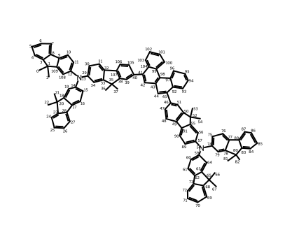 CC1(C)c2ccccc2-c2ccc(N(c3ccc4c(c3)C(C)(C)c3ccccc3-4)c3ccc4c(c3)C(C)(C)c3cc(-c5cc6cc(-c7ccc8c(c7)C(C)(C)c7cc(N(c9ccc%10c(c9)C(C)(C)c9ccccc9-%10)c9ccc%10c(c9)C(C)(C)c9ccccc9-%10)ccc7-8)c7ccccc7c6c6ccccc56)ccc3-4)cc21